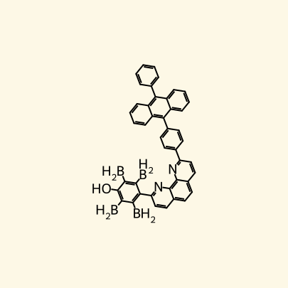 Bc1c(B)c(-c2ccc3ccc4ccc(-c5ccc(-c6c7ccccc7c(-c7ccccc7)c7ccccc67)cc5)nc4c3n2)c(B)c(B)c1O